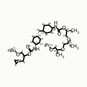 CCCCOCC(CN1CC1)OC(=O)N[C@H]1CC[C@@H](CC2CCC(NC(=O)O[C@@H](C)CO[C@H](C)CO[C@@H](C)COC(C)C)CC2)CC1